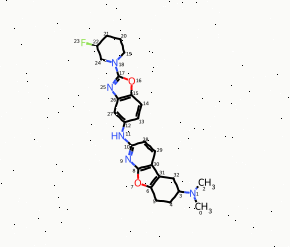 CN(C)C1CCc2oc3nc(Nc4ccc5oc(N6CCC[C@H](F)C6)nc5c4)ccc3c2C1